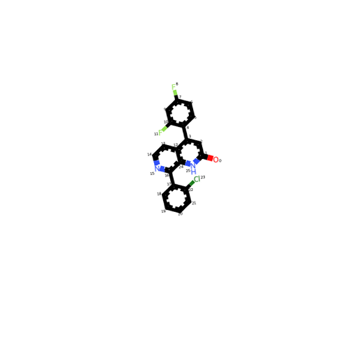 O=c1cc(-c2ccc(F)cc2F)c2ccnc(-c3ccccc3Cl)c2[nH]1